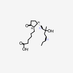 CC/C=C\CC(C)(O)/C=C/[C@H]1CCC(=O)[C@@H]1CCCCCC(=O)O